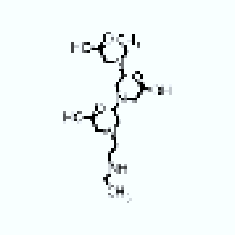 CCNCCN(CCN(CCN(CC)CC(=O)O)CC(=O)O)CC(=O)O